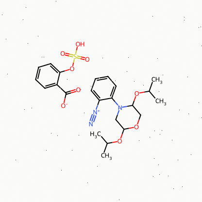 CC(C)OC1CN(c2ccccc2[N+]#N)C(OC(C)C)CO1.O=C([O-])c1ccccc1OS(=O)(=O)O